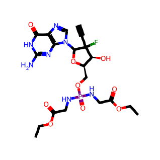 C#CC1(F)C(n2cnc3c(=O)[nH]c(N)nc32)O[C@H](COP(=O)(NCC(=O)OCC)NCC(=O)OCC)[C@@H]1O